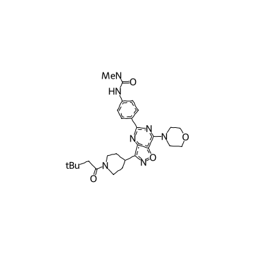 CNC(=O)Nc1ccc(-c2nc(N3CCOCC3)c3onc(C4CCN(C(=O)CC(C)(C)C)CC4)c3n2)cc1